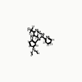 CCN(CC)c1ccc(/N=C2/C(C(C)(C)F)=Nn3nc(-c4ccccn4)nc32)c(C)c1